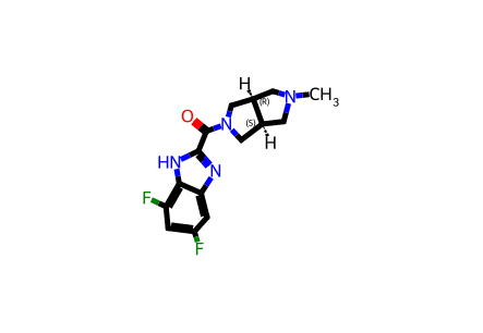 CN1C[C@@H]2CN(C(=O)c3nc4cc(F)cc(F)c4[nH]3)C[C@@H]2C1